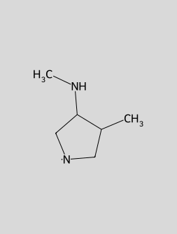 CNC1C[N]CC1C